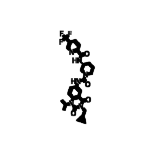 CC(C)n1c(=O)n(CC2CC2)c(=O)c2cc(NC(=O)N3CCC[C@@H](NC(=O)c4ccc(C(F)(F)F)cn4)C3)ccc21